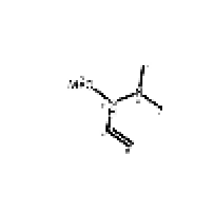 C=C[SiH](OC)N(C)C